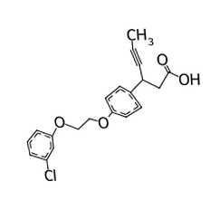 CC#CC(CC(=O)O)c1ccc(OCCOc2cccc(Cl)c2)cc1